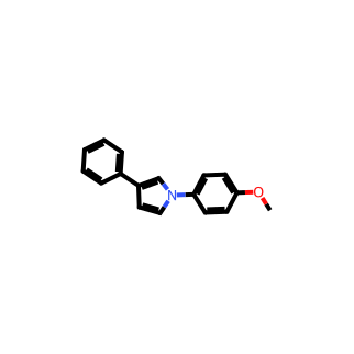 COc1ccc(-n2ccc(-c3ccccc3)c2)cc1